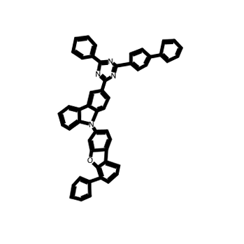 c1ccc(-c2ccc(-c3nc(-c4ccccc4)nc(-c4ccc5c(c4)c4ccccc4n5-c4ccc5c(c4)oc4c(-c6ccccc6)cccc45)n3)cc2)cc1